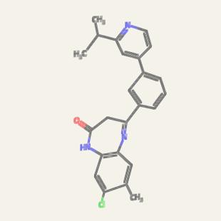 Cc1cc2c(cc1Cl)NC(=O)CC(c1cccc(-c3ccnc(C(C)C)c3)c1)=N2